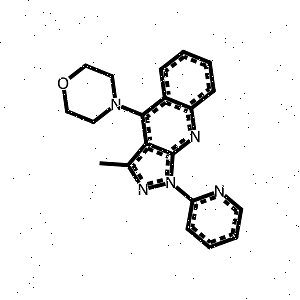 Cc1nn(-c2ccccn2)c2nc3ccccc3c(N3CCOCC3)c12